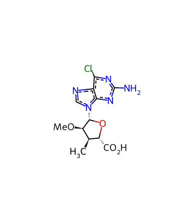 CO[C@@H]1[C@H](C)[C@@H](C(=O)O)O[C@H]1n1cnc2c(Cl)nc(N)nc21